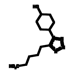 O=C(O)CCCCc1nnnn1C1CCC(O)CC1